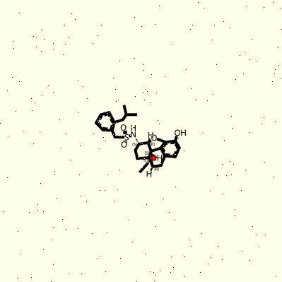 CC(C)Cc1ccccc1CS(=O)(=O)N[C@H]1CC[C@@]2(O)[C@H]3Cc4ccc(O)c5c4[C@@]2(CCN3C)[C@H]1O5